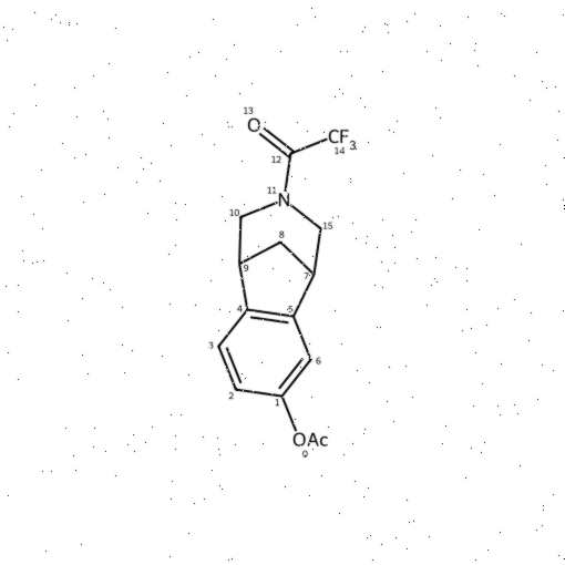 CC(=O)Oc1ccc2c(c1)C1CC2CN(C(=O)C(F)(F)F)C1